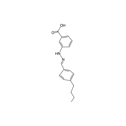 CCCCc1ccc(/C=N/Nc2cccc(C(=O)O)c2)cc1